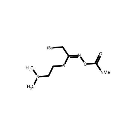 CNC(=O)ON=C(CC(C)(C)C)SCCN(C)C